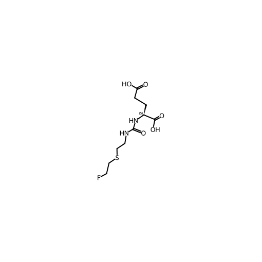 O=C(O)CC[C@H](NC(=O)NCCSCCF)C(=O)O